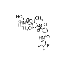 CCC1C[C@@H](S(=O)(=O)c2cc(C(=O)Nc3cc(F)c(F)c(F)c3)ccc2Cl)C[C@H](C)[C@@]1(O)CC(=O)NC(C)CO